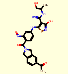 CC(=O)c1ccc2c(c1)CN(C(=O)c1ccc(Nc3snc(O)c3C(=N)NC(C)CO)cc1N=O)C2